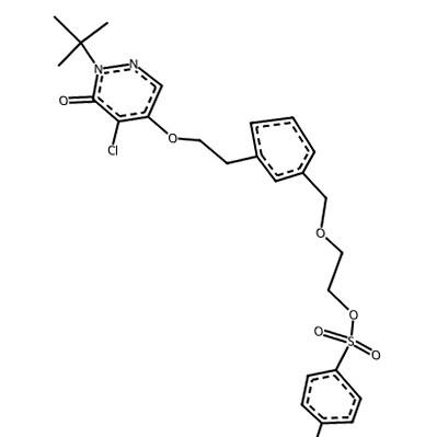 Cc1ccc(S(=O)(=O)OCCOCc2cccc(CCOc3cnn(C(C)(C)C)c(=O)c3Cl)c2)cc1